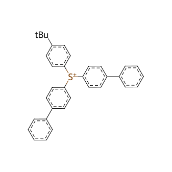 CC(C)(C)c1ccc([S+](c2ccc(-c3ccccc3)cc2)c2ccc(-c3ccccc3)cc2)cc1